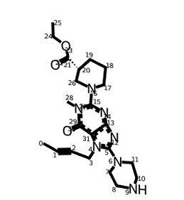 CC#CCn1c(N2CCNCC2)nc2nc(N3CCC[C@@H](C(=O)OCC)C3)n(C)c(=O)c21